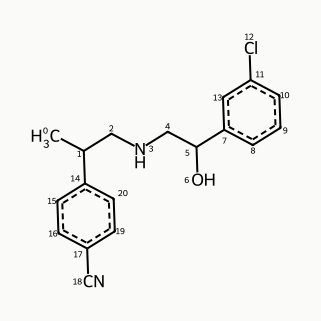 CC(CNCC(O)c1cccc(Cl)c1)c1ccc(C#N)cc1